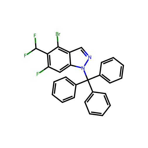 Fc1cc2c(cnn2C(c2ccccc2)(c2ccccc2)c2ccccc2)c(Br)c1C(F)F